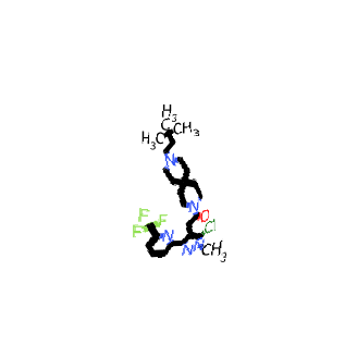 Cn1nc(-c2cccc(C(F)(F)F)n2)c(CC(=O)N2CCC3(CCN(CCC(C)(C)C)CC3)CC2)c1Cl